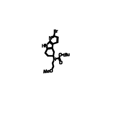 COCCN(C(=O)OC(C)(C)C)C1CCc2[nH]c3nc(Br)ccc3c2C1